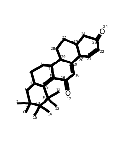 CC1(C)CC2CCC3C(=C2C(C)(C)C1(C)C)C(=O)C=C1C2C=CC(=O)CC2CCC13